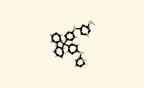 Cc1cncc(Oc2ccc(C3(c4ccc(Oc5ccccn5)cc4)c4ccccc4-c4ccccc43)cc2)c1